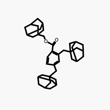 O=C(OCC12CC3CC(CC(C3)C1)C2)c1ccc(CC23CC4CC(CC(C4)C2)C3)cc1CC12CC3CC(CC(C3)C1)C2